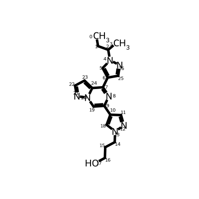 CCC(C)n1cc(-c2nc(-c3cnn(CCCO)c3)cn3nccc23)cn1